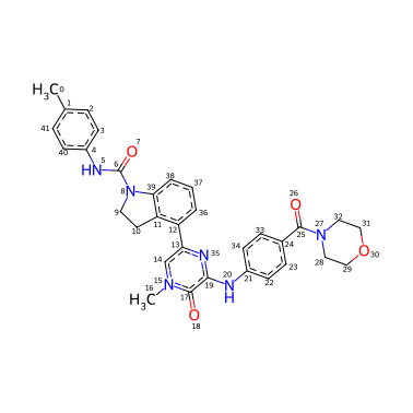 Cc1ccc(NC(=O)N2CCc3c(-c4cn(C)c(=O)c(Nc5ccc(C(=O)N6CCOCC6)cc5)n4)cccc32)cc1